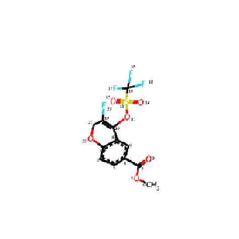 COC(=O)c1ccc2c(c1)C(OS(=O)(=O)C(F)(F)F)=C(F)CO2